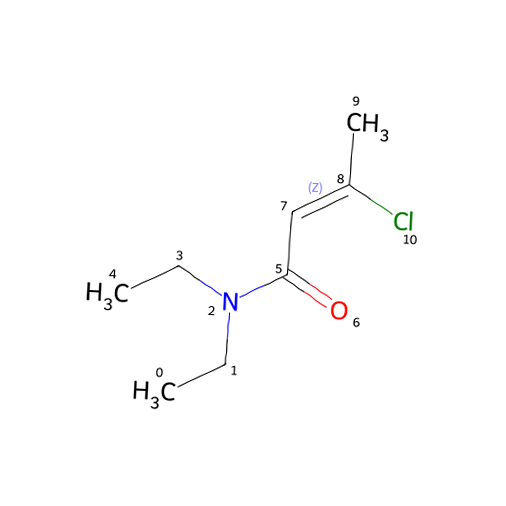 CCN(CC)C(=O)/C=C(/C)Cl